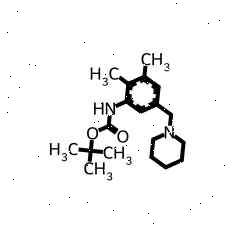 Cc1cc(CN2CCCCC2)cc(NC(=O)OC(C)(C)C)c1C